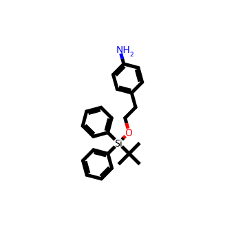 CC(C)(C)[Si](OCCc1ccc(N)cc1)(c1ccccc1)c1ccccc1